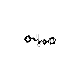 O=C(NCCc1ccccc1)N1CC(N2CCOCC2)C1